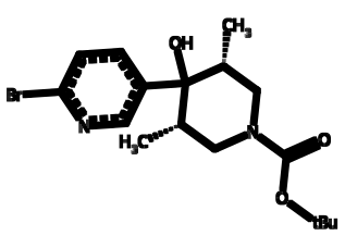 C[C@@H]1CN(C(=O)OC(C)(C)C)C[C@H](C)C1(O)c1ccc(Br)nc1